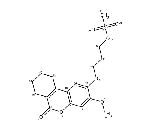 COc1cc2oc(=O)c3c(c2cc1OCCCOS(C)(=O)=O)CCCC3